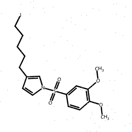 COc1ccc(S(=O)(=O)n2ccc(CCCCCI)c2)cc1OC